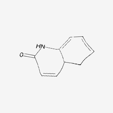 O=C1C=CC2CC=CC=C2N1